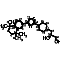 CC1(C)CCC(C)(C)c2cc(-c3csc(C4CCN(C[C@H](O)CO)CC4)n3)ccc21